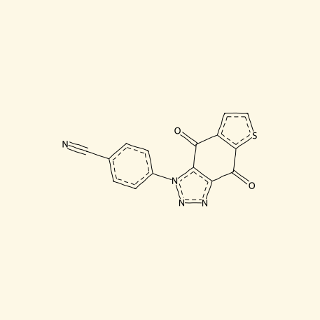 N#Cc1ccc(-n2nnc3c2C(=O)c2ccsc2C3=O)cc1